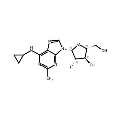 Cc1nc(NC2CC2)c2ncn([C@@H]3O[C@H](CO)[C@@H](O)[C@@H]3F)c2n1